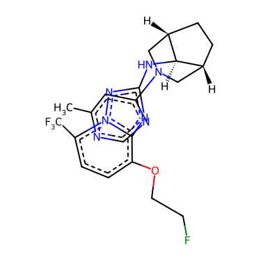 Cc1cc(N2C[C@H]3CC[C@@H](C2)[C@@H]3Nc2nc3c(OCCF)ccc(C(F)(F)F)n3n2)ncn1